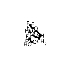 C=C1CC2CNCC1N2.O=C(O)C(F)(F)F.O=C(O)C(F)(F)F